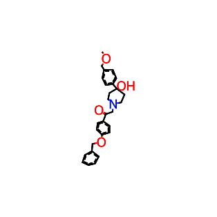 COCc1ccc(C2(O)CCN(CC(=O)c3ccc(OCc4ccccc4)cc3)CC2)cc1